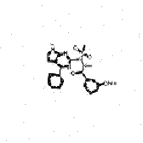 COc1cccc(C(=O)N(C)N(c2nc(-c3ccccc3)c3cc[nH]c3n2)S(C)(=O)=O)c1